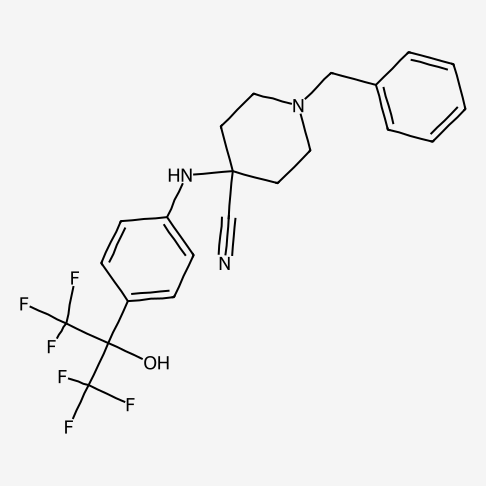 N#CC1(Nc2ccc(C(O)(C(F)(F)F)C(F)(F)F)cc2)CCN(Cc2ccccc2)CC1